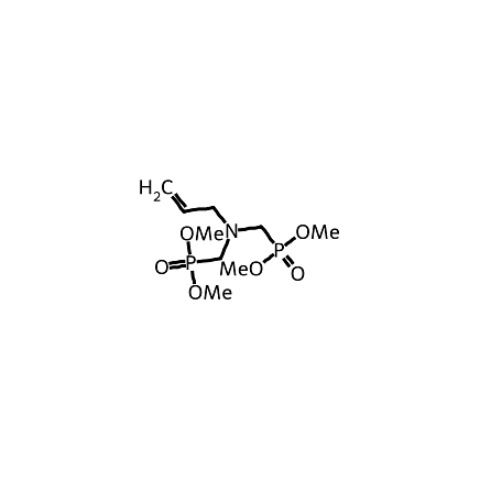 C=CCN(CP(=O)(OC)OC)CP(=O)(OC)OC